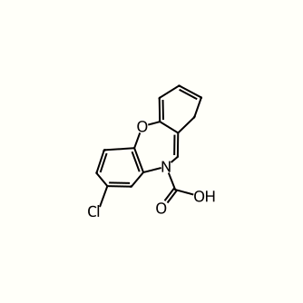 O=C(O)N1C=C2CC=CC=C2Oc2ccc(Cl)cc21